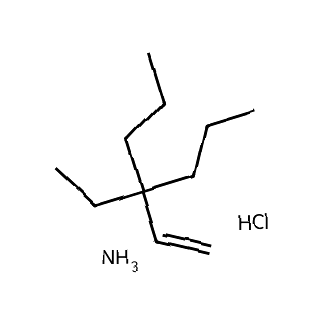 C=CC(CC)(CCC)CCC.Cl.N